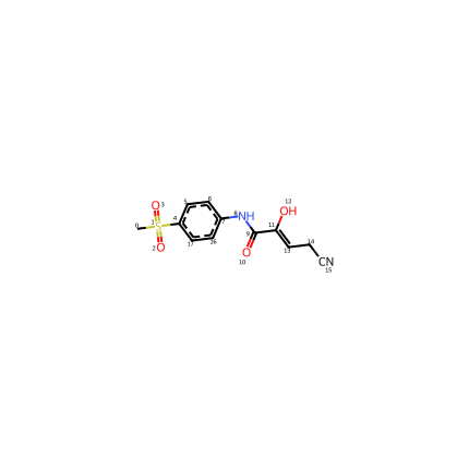 CS(=O)(=O)c1ccc(NC(=O)C(O)=CCC#N)cc1